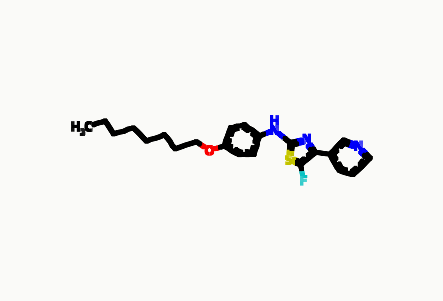 CCCCCCCCOc1ccc(Nc2nc(-c3cccnc3)c(F)s2)cc1